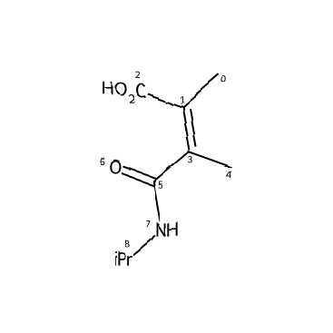 C/C(C(=O)O)=C(\C)C(=O)NC(C)C